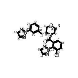 C[C@@H]1CN(C(=O)c2cccc(Cl)c2-n2nccn2)[C@H](Cc2cccc(-n3nccn3)c2)CO1